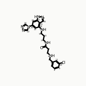 O=C(CCNCc1cccc(Cl)c1)NCCCNc1cc(-n2cnnc2)cc2[nH]ncc12